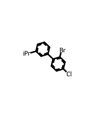 CC(C)c1cccc(-c2ccc(Cl)cc2Br)c1